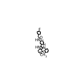 CN1CCc2[nH]c(-c3ccnc(NC(=O)Cc4ccc(F)cc4)c3)c(Nc3ccccc3)c2C1=O